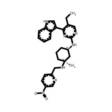 CCc1cnc(N[C@@H]2CCC[C@](C)(NCc3ccc([N+](=O)[O-])cn3)C2)nc1-c1c[nH]c2ccccc12